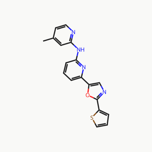 Cc1ccnc(Nc2cccc(-c3cnc(-c4cccs4)o3)n2)c1